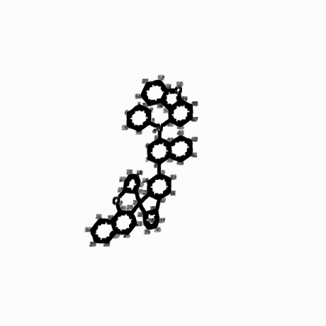 c1ccc(N(c2ccc(-c3ccc4c(c3)C3(c5ccccc5Oc5c3ccc3ccccc53)c3ccccc3-4)c3ccccc23)c2cccc3oc4ccccc4c23)cc1